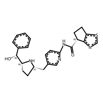 O=C(Nc1ccc(C[C@@H]2CC[C@H]([C@H](O)c3ccccc3)N2)cn1)[C@@H]1CCc2scnc21